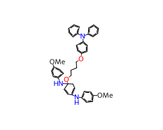 COc1ccc(NC2=CCC(Nc3ccc(OC)cc3)(OCCCCOc3ccc(N(c4ccccc4)c4ccccc4)cc3)C=C2)cc1